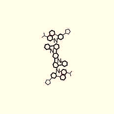 CC(C)c1ccc(N(c2ccc(C3CCCC3)cc2-c2ccccc2)c2ccc3c4cc5c(cc4n4c6ccccc6c2c34)c2ccc(N(c3ccc(C(C)C)cc3)c3ccc(C4CCCC4)cc3-c3ccccc3)c3c4ccccc4n5c23)cc1